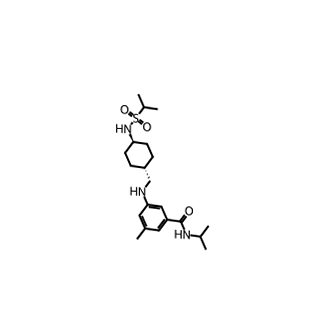 Cc1cc(NC[C@H]2CC[C@H](NS(=O)(=O)C(C)C)CC2)cc(C(=O)NC(C)C)c1